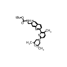 Cc1ccc(N2C[C@@H](C)O[C@@H](C)C2)nc1-c1ccc2cnc(CNC(=O)OC(C)(C)C)cc2n1